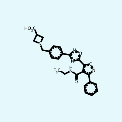 O=C(NCC(F)(F)F)c1c(-c2ccccc2)noc1-c1nc(-c2ccc(CN3CC(C(=O)O)C3)cc2)no1